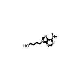 CN(C)c1ncnc2c1ncn2CCCCO